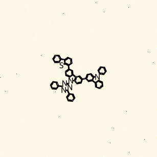 c1ccc(-c2nc(-c3ccccc3)nc(-n3c4ccc(-c5ccc6c(c5)c5ccccc5n6-c5ccccc5)cc4c4cc(-c5cccc6c5sc5ccccc56)ccc43)n2)cc1